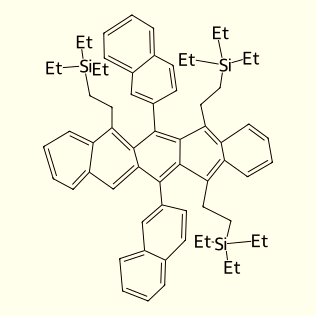 CC[Si](CC)(CC)CCc1c2ccccc2cc2c(-c3ccc4ccccc4c3)c3c(CC[Si](CC)(CC)CC)c4ccccc4c(CC[Si](CC)(CC)CC)c3c(-c3ccc4ccccc4c3)c12